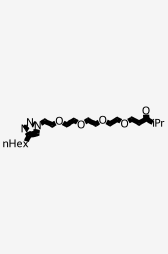 CCCCCCc1cn(CCOCCOCCOCCOCCC(=O)C(C)C)nn1